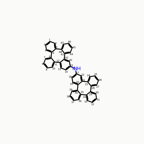 c1ccc2c(c1)-c1ccccc1-c1ccc(Nc3ccc4c(c3)-c3ccccc3-c3ccccc3-c3ccccc3-4)cc1-c1ccccc1-2